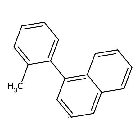 Cc1ccccc1-c1c[c]cc2ccccc12